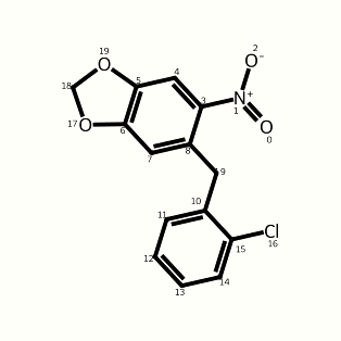 O=[N+]([O-])c1cc2c(cc1[CH]c1ccccc1Cl)OCO2